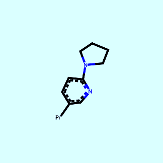 CC(C)c1ccc(N2CCCC2)nc1